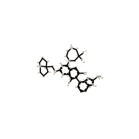 Nc1nc2c(-c3c(Cl)cc4c(N5CCOCC(F)(F)C5)nc(OCC56CCCN5CCC6)nc4c3F)cccc2s1